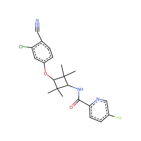 CC1(C)C(NC(=O)c2ccc(F)cn2)C(C)(C)C1Oc1ccc(C#N)c(Cl)c1